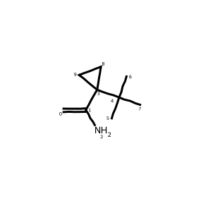 C=C(N)C1(C(C)(C)C)CC1